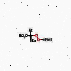 CCCCCOOC(CC)(CCCC)C(=O)O